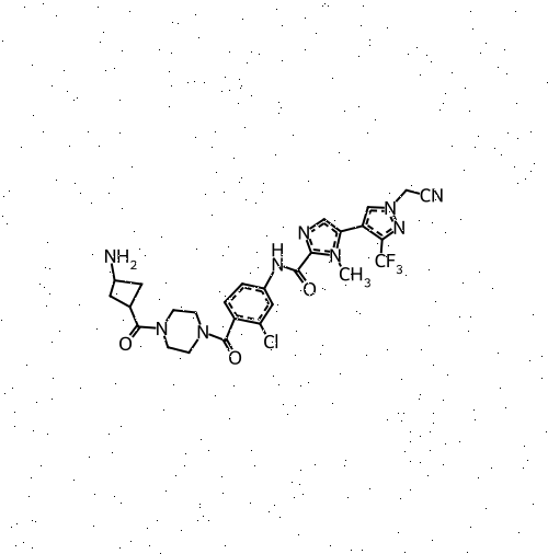 Cn1c(-c2cn(CC#N)nc2C(F)(F)F)cnc1C(=O)Nc1ccc(C(=O)N2CCN(C(=O)C3CC(N)C3)CC2)c(Cl)c1